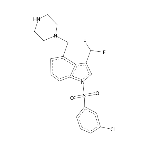 O=S(=O)(c1cccc(Cl)c1)n1cc(C(F)F)c2c(CN3CCNCC3)cccc21